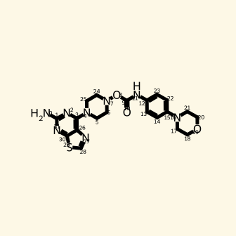 Nc1nc(N2CCN(OC(=O)Nc3ccc(N4CCOCC4)cc3)CC2)c2ncsc2n1